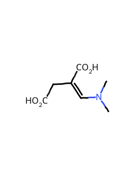 CN(C)C=C(CC(=O)O)C(=O)O